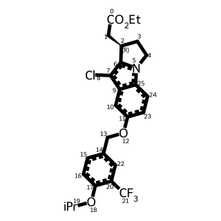 CCOC(=O)C[C@H]1CCn2c1c(Cl)c1cc(OCc3ccc(OC(C)C)c(C(F)(F)F)c3)ccc12